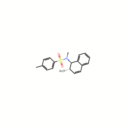 CC(=O)O[C@H]1C=Cc2ccccc2[C@@H]1N(C)S(=O)(=O)c1ccc(C)cc1